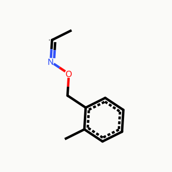 C/[C]=N\OCc1ccccc1C